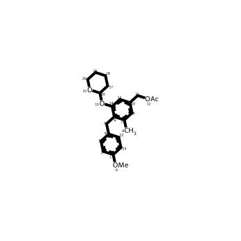 COc1ccc(Cc2c(C)cc(COC(C)=O)cc2OC2CCCCO2)cc1